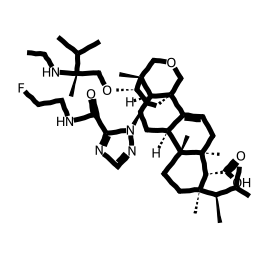 CCN[C@@](C)(CO[C@H]1[C@H](n2ncnc2C(=O)NCCF)C[C@@]23COC[C@]1(C)[C@@H]2CC[C@H]1C3=CC[C@@]2(C)[C@H](C(=O)O)[C@@](C)([C@H](C)C(C)C)CC[C@]12C)C(C)C